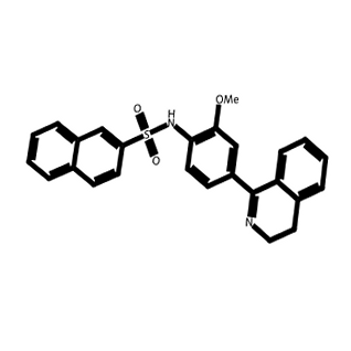 COc1cc(C2=NCCc3ccccc32)ccc1NS(=O)(=O)c1ccc2ccccc2c1